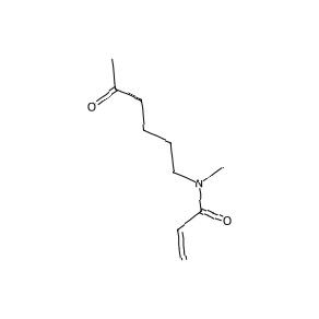 C=CC(=O)N(C)CCCCC(C)=O